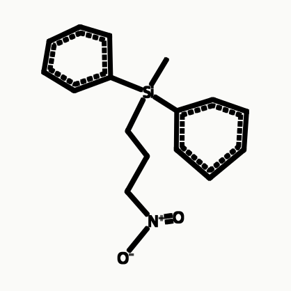 C[Si](CCC[N+](=O)[O-])(c1ccccc1)c1ccccc1